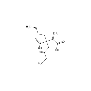 C=C(C(=O)O)C(CCOC)(CC(=O)CC)C(=O)O